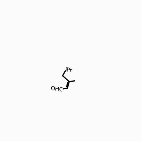 C/C(=C/C=O)CC(C)C